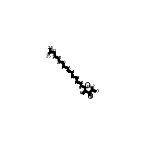 C=C(C)C(=O)C(=C)C(=O)CCCCCCCCCCCCCCC(C)C